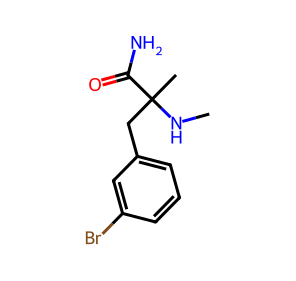 CNC(C)(Cc1cccc(Br)c1)C(N)=O